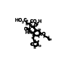 C=CCOc1cc(Cc2ccco2)c2[nH]c(=O)n(C(CC(=O)O)C(=O)O)c(=O)c2c1